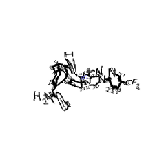 N#C/N=C(/NC1C2CC3CC1CC(C(N)=O)(C3)C2)C1(N2CCN(c3ccc(C(F)(F)F)cn3)CC2)CCC1